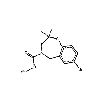 CC(C)(C)OC(=O)N1Cc2cc(Br)ccc2OC(C)(C)C1